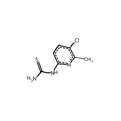 Cc1nc(NC(N)=S)ccc1Cl